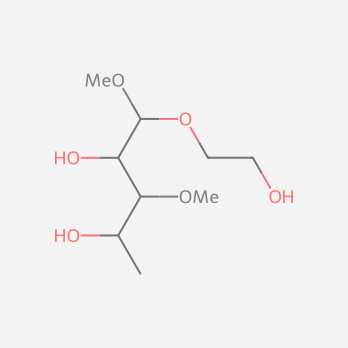 COC(OCCO)C(O)C(OC)C(C)O